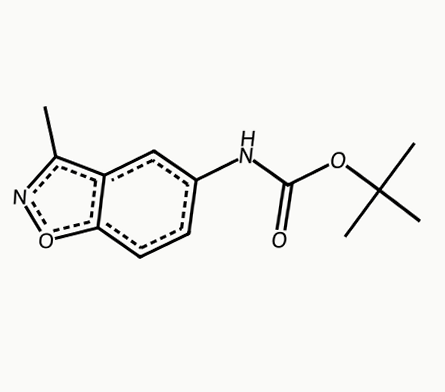 Cc1noc2ccc(NC(=O)OC(C)(C)C)cc12